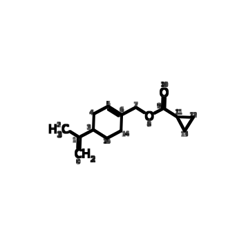 C=C(C)C1CC=C(COC(=O)C2CC2)CC1